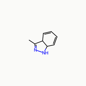 CC1=NNC2C=CC=CC12